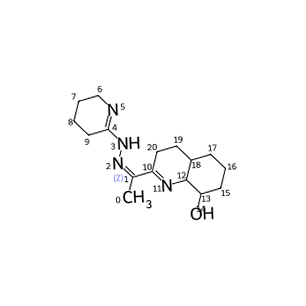 C/C(=N/NC1=NCCCC1)C1=NC2C(O)CCCC2CC1